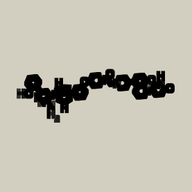 Nc1nnc(-c2ccccc2O)cc1N1C[C@@H]2CC3[C@H](C1)C[C@@]3(c1cccc(OC3CCN(C(=O)CN4CCC(c5cccc6c5CCCN6C5CCC(=O)NC5=O)CC4)CC3)c1)C2